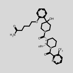 CCC[C@@H]1[C@H](C(=O)N2CCC(O)(c3ccccc3OCCCCC(N)=O)CC2)CCCN1C(=O)c1ncccc1C(F)(F)F